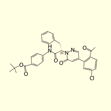 CC(=O)c1ccc(Cl)cc1-c1cnn([C@@H](Cc2ccccc2)C(=O)Nc2ccc(C(=O)OC(C)(C)C)cc2)c(=O)c1